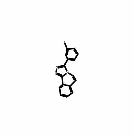 Ic1cccc(-c2nnc3c4ccccc4ccn23)c1